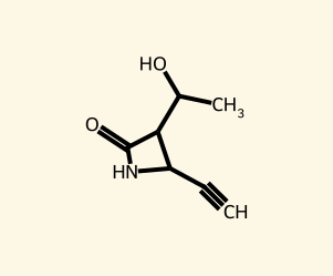 C#CC1NC(=O)C1C(C)O